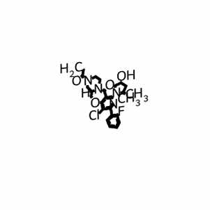 C=CC(=O)N1CCN2C(=O)c3c(N4C[C@H](O)CC4(C)C)nc(-c4ccccc4F)c(Cl)c3OC[C@H]2C1